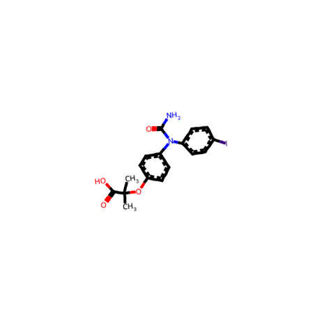 CC(C)(Oc1ccc(N(C(N)=O)c2ccc(I)cc2)cc1)C(=O)O